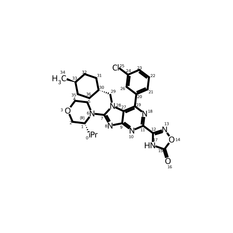 CC(C)[C@@H]1COCCN1c1nc2nc(-c3noc(=O)[nH]3)nc(-c3cccc(Cl)c3)c2n1C[C@H]1CC[C@H](C)CC1